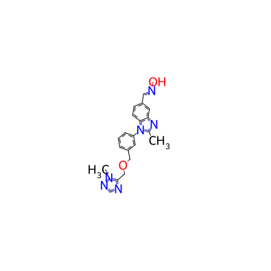 Cc1nc2cc(C=NO)ccc2n1-c1cccc(COCc2ncnn2C)c1